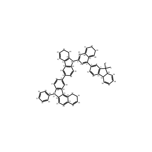 CC1(C)c2cc(-c3nc(-n4c5c(c6cc(-c7ccc8c(c7)c7c9c(ccc7n8-c7ccccc7)C=CCC9)ccc64)C=CCC5)nc4c3=CCCC=4)ccc2C2C=CC=CC21